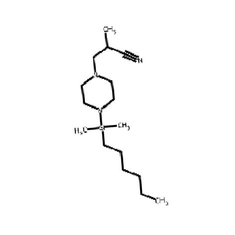 CCCCCC[Si](C)(C)N1CCN(CC(C)C#N)CC1